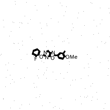 COc1ccc(-c2nc3cnc(Oc4ccccc4F)nc3o2)cc1C